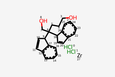 Cl.Cl.OCCCC(CO)(C1C=Cc2ccccc21)C1C=Cc2ccccc21.[Zr]